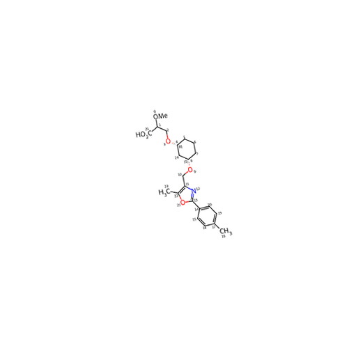 COC(CO[C@@H]1CCC[C@H](OCc2nc(-c3ccc(C)cc3)oc2C)C1)C(=O)O